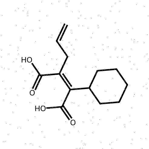 C=CC/C(C(=O)O)=C(/C(=O)O)C1CCCCC1